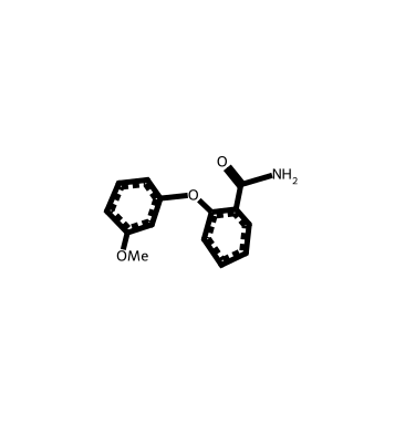 COc1cccc(Oc2ccccc2C(N)=O)c1